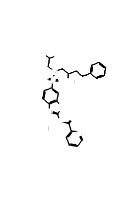 CC(C)CN(CC(O)[CH]Cc1ccccc1)S(=O)(=O)c1ccc2nc(N(C)C(=O)c3ccccn3)oc2c1